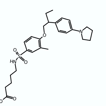 CCC(COc1ccc(S(=O)(=O)NCCCCC(=O)O)cc1C)c1ccc(N2CCCC2)cc1